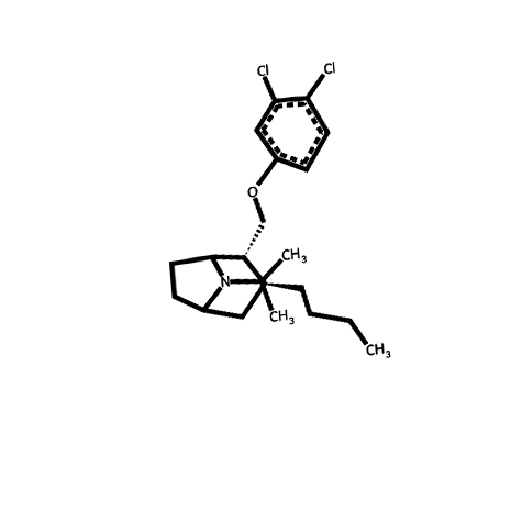 CCCC[C@H]1CC2CCC([C@@H]1COc1ccc(Cl)c(Cl)c1)N2C(C)C